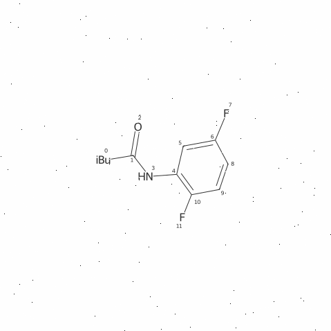 CCC(C)C(=O)Nc1cc(F)ccc1F